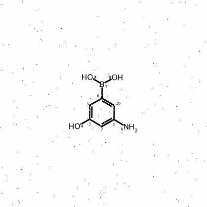 Nc1cc(O)cc(B(O)O)c1